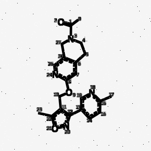 CC(=O)N1CCc2cc(OCc3c(-c4ccc(C)nc4)noc3C)ncc2C1